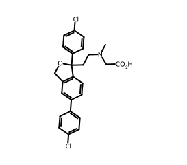 CN(CCC1(c2ccc(Cl)cc2)OCc2cc(-c3ccc(Cl)cc3)ccc21)CC(=O)O